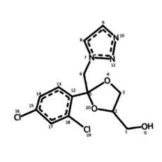 OCC1COC(Cn2ccnn2)(c2ccc(Cl)cc2Cl)O1